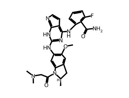 COc1cc2c(cc1Nc1nc(Nc3cccc(F)c3C(N)=O)c3ccnc-3[nH]1)N(C(=O)CN(C)C)[C@H](C)C2